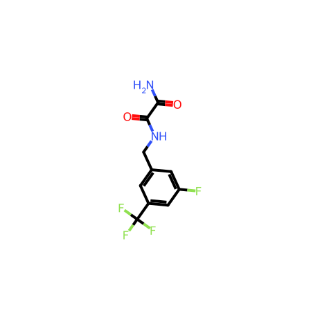 NC(=O)C(=O)NCc1cc(F)cc(C(F)(F)F)c1